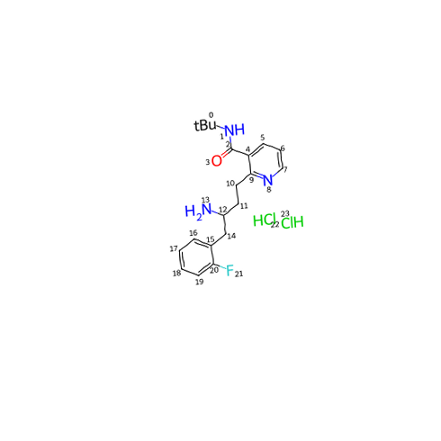 CC(C)(C)NC(=O)c1cccnc1CCC(N)Cc1ccccc1F.Cl.Cl